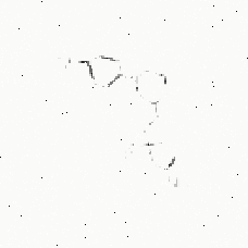 CC(C)(CCC1CN(c2ccc(C(F)(F)F)cc2)CCO1)OC(N)=O